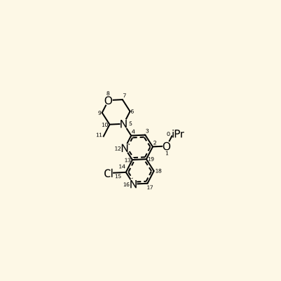 CC(C)Oc1cc(N2CCOCC2C)nc2c(Cl)nccc12